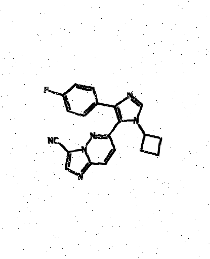 N#Cc1cnc2ccc(-c3c(-c4ccc(F)cc4)ncn3C3CCC3)nn12